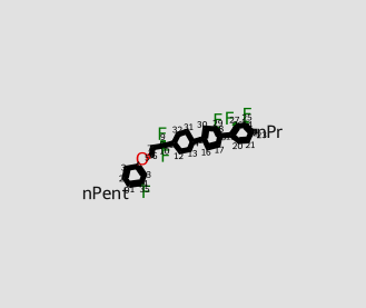 CCCCCc1ccc(OCCC(F)(F)C2CCC(c3ccc(-c4ccc(CCC)c(F)c4F)c(F)c3)CC2)cc1F